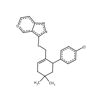 CC1(C)CC=C(CSc2nnc3ccocc2-3)C(c2ccc(Cl)cc2)C1